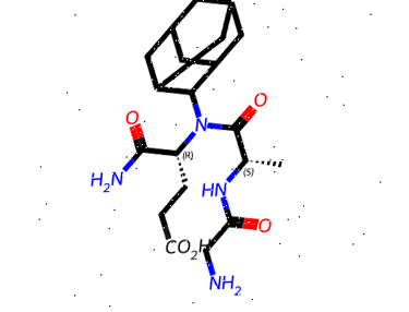 C[C@H](NC(=O)CN)C(=O)N(C1C2CC3CC(C2)CC1C3)[C@H](CCC(=O)O)C(N)=O